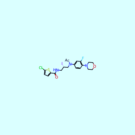 CC(=O)N(C[C@@H](I)CNC(=O)c1ccc(Cl)s1)c1ccc(N2CCOCC2)c(F)c1